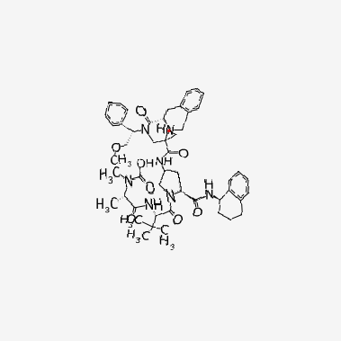 COC[C@H](c1ccccc1)N(CC1(C(=O)N[C@H]2C[C@@H](C(=O)N[C@@H]3CCCc4ccccc43)N(C(=O)[C@@H](NC(=O)[C@H](C)N(C)C(=O)O)C(C)(C)C)C2)CC1)C(=O)[C@@H]1Cc2ccccc2CN1